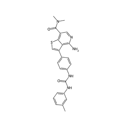 Cc1cccc(NC(=O)Nc2ccc(-c3csc4c(C(=O)N(C)C)cnc(N)c34)cc2)c1